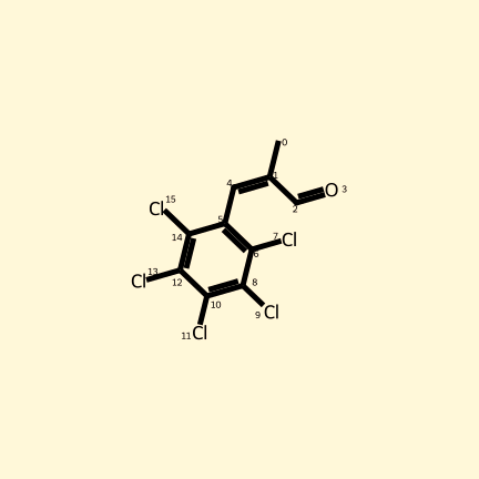 CC([C]=O)=Cc1c(Cl)c(Cl)c(Cl)c(Cl)c1Cl